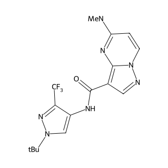 CNc1ccn2ncc(C(=O)Nc3cn(C(C)(C)C)nc3C(F)(F)F)c2n1